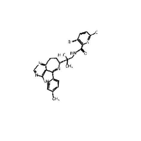 Cc1ccc(C2=NC(C(C)(C)CNC(=O)c3nc(Cl)ccc3Br)CCc3ncnc(N)c32)cc1